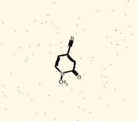 Cn1ccc(C#N)cc1=O